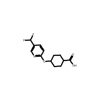 O=C(O)C1CCC(Oc2ccc(C(F)F)cn2)CC1